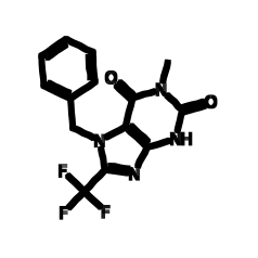 Cn1c(=O)[nH]c2nc(C(F)(F)F)n(Cc3ccccc3)c2c1=O